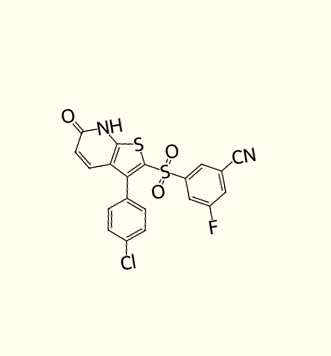 N#Cc1cc(F)cc(S(=O)(=O)c2sc3[nH]c(=O)ccc3c2-c2ccc(Cl)cc2)c1